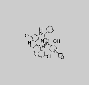 N#Cc1cnc2c(Cl)cc(NC(c3ccccc3)c3cn([C@@H]4CCN(C5COC5)C[C@H]4O)nn3)cc2c1Nc1cccc(Cl)c1